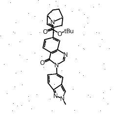 Cn1cc2cc(-n3cnc4cc(C5=CC6CCC(C5)N6C(=O)OC(C)(C)C)ccc4c3=O)ccc2n1